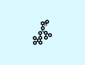 c1ccc(-c2ccc(N(c3ccc(-c4cccc5c4oc4ccccc45)cc3)c3cccc(-c4ccc5c(c4)c(-c4ccccc4)c(-c4ccccc4)c4ccccc45)c3)cc2-c2ccccc2)cc1